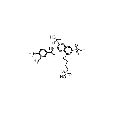 Cc1cc(C(=O)Nc2cc3c(OCCCS(=O)(=O)O)cc(S(=O)(=O)O)cc3cc2S(=O)(=O)O)ccc1N